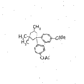 COc1ccc(C2(c3ccc(OC(C)=O)cc3)CC(C)CC(C)(C)C2)cc1